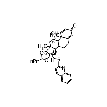 CCCC1O[C@@H]2CC3C4CCC5=CC(=O)C=CC5(C)C4[C@@H](O)CC3(C)[C@]2(C(=O)CSc2ccc3ccccc3n2)O1